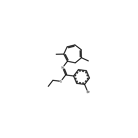 CCS/C(=N/C1=C(C)C=CC=C(C)C1)c1cccc(Br)c1